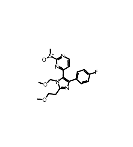 COCCc1nc(-c2ccc(F)cc2)c(-c2ccnc([S+](C)[O-])n2)n1COC